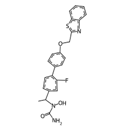 CC(c1ccc(-c2ccc(OCc3nc4ccccc4s3)cc2)c(F)c1)N(O)C(N)=O